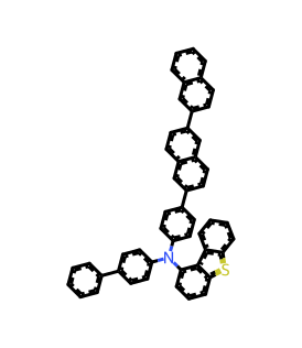 c1ccc(-c2ccc(N(c3ccc(-c4ccc5cc(-c6ccc7ccccc7c6)ccc5c4)cc3)c3cccc4sc5ccccc5c34)cc2)cc1